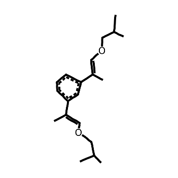 CC(=COCC(C)C)c1cccc(C(C)=COCC(C)C)c1